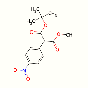 COC(=O)C(C(=O)OC(C)(C)C)c1ccc([N+](=O)[O-])cc1